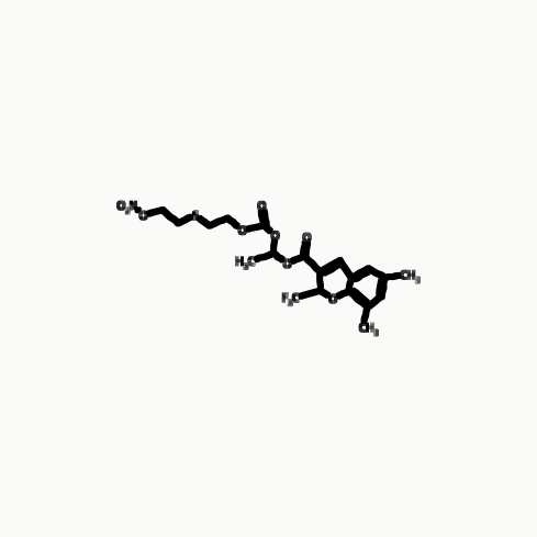 Cc1cc(C)c2c(c1)C=C(C(=O)OC(C)OC(=O)OCCSCCO[N+](=O)[O-])C(C(F)(F)F)O2